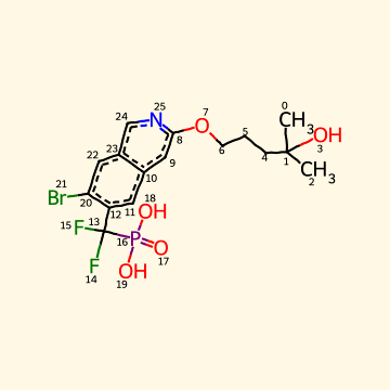 CC(C)(O)CCCOc1cc2cc(C(F)(F)P(=O)(O)O)c(Br)cc2cn1